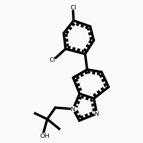 CC(C)(O)Cn1cnc2ccc(-c3ccc(Cl)cc3Cl)cc21